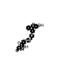 O=C1CCC(N2C(=O)c3ccc(N4CCN(CC5CCN(c6ccc(C7c8ccc(O)cc8OCC7c7ccccc7)cc6)CC5)CC4)cc3C2O)C(=O)N1